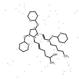 CCCCC[C@@H](C=C[C@@H]1[C@@H](CC=CCCC(C)O)[C@@H](OC2CCCCO2)C[C@H]1OC1CCCCO1)OC1CCCCO1